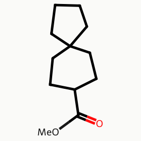 COC(=O)C1CCC2(CCCC2)CC1